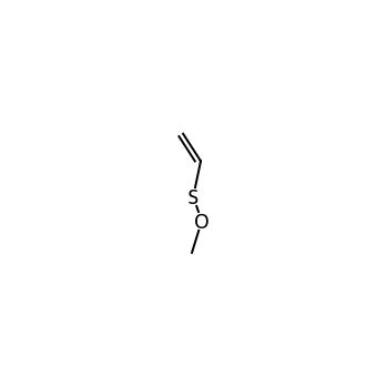 C=CSOC